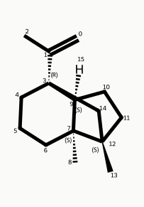 C=C(C)[C@@]12CCC[C@@]3(C)[C@@H]1CC[C@@]3(C)C2